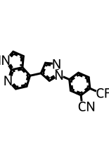 N#Cc1cc(-n2cc(-c3ccnc4[nH]ccc34)cn2)ccc1C(F)(F)F